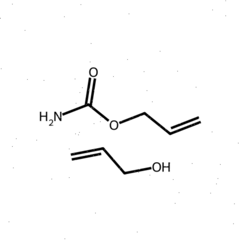 C=CCO.C=CCOC(N)=O